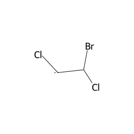 Cl[CH]C(Cl)Br